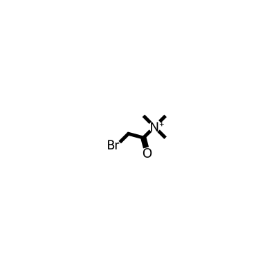 C[N+](C)(C)C(=O)CBr